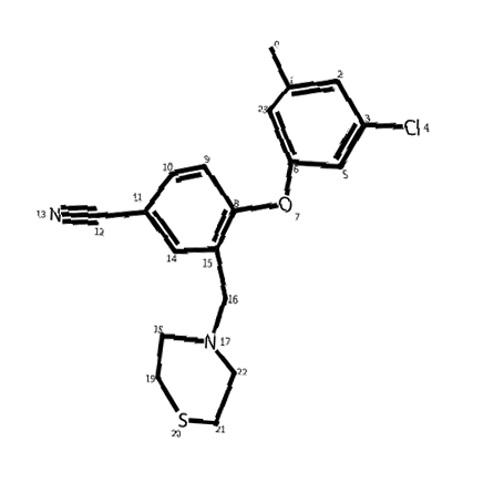 Cc1cc(Cl)cc(Oc2ccc(C#N)cc2CN2CCSCC2)c1